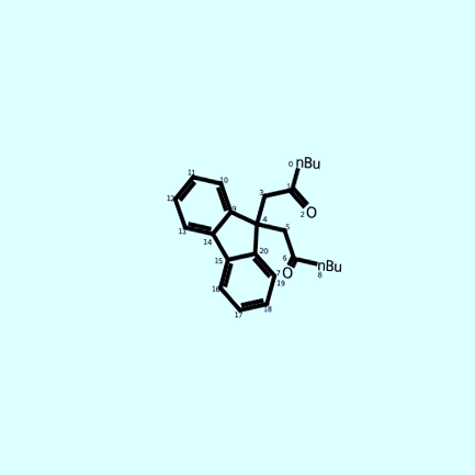 CCCCC(=O)CC1(CC(=O)CCCC)c2ccccc2-c2ccccc21